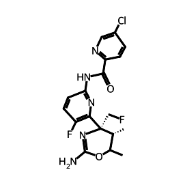 CC1OC(N)=N[C@@](CF)(c2nc(NC(=O)c3ccc(Cl)cn3)ccc2F)[C@@H]1C